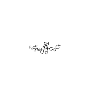 CC1(C)CCC(Oc2ccc(-c3nc(O)nc(-c4cc(CNC(=O)C(C)(C)C(F)(F)F)ccc4Cl)n3)cc2)CC1